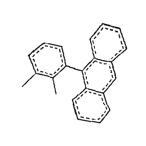 Cc1cccc(-c2c3ccccc3cc3ccccc23)c1C